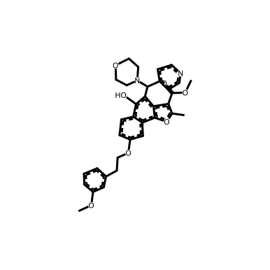 COC(=O)c1c(C)oc2c1c(C(c1ccncc1)N1CCOCC1)c(O)c1ccc(OCCc3cccc(OC)c3)cc12